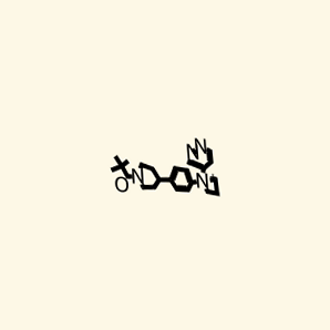 CC(C)(C)C(=O)N1CCC(c2ccc([N+]3(c4ccnnc4)CCC3)cc2)CC1